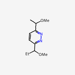 CCC(OC)c1ccc(C(C)OC)nn1